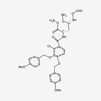 BOC(=O)[C@H](C[C@@H](BOC=O)ON)NC(=O)c1ccc(OCc2ccc(OC)cc2)c(OCc2ccc(OC)cc2)c1Cl